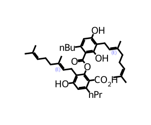 CCCCc1cc(O)c(C/C=C(\C)CCC=C(C)C)c(O)c1C(=O)Oc1c(C/C=C(\C)CCC=C(C)C)c(O)cc(CCC)c1C(=O)O